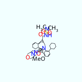 COc1ccc(C2CCCCC2)c2c1cc1n2CC2=C(C(=O)NS(=O)(=O)N(C)C)C2=C2C=CC[C@@H](C(=O)N3C4COCC3CN(C(C)C)C4)C21